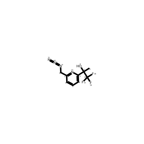 CC(O)(c1cccc(CN=[N+]=[N-])n1)C(F)(F)F